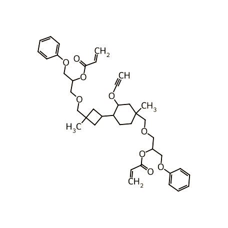 C#COC1CC(C)(COCC(COc2ccccc2)OC(=O)C=C)CCC1C1CC(C)(COCC(COc2ccccc2)OC(=O)C=C)C1